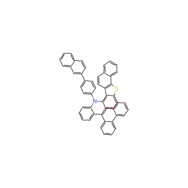 c1ccc(N(c2ccc(-c3ccc4ccccc4c3)cc2)c2cccc3sc4c5ccccc5ccc4c23)c(-c2cc3ccccc3c3ccccc23)c1